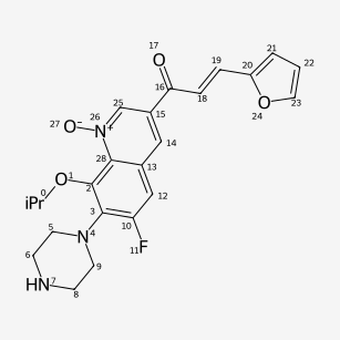 CC(C)Oc1c(N2CCNCC2)c(F)cc2cc(C(=O)C=Cc3ccco3)c[n+]([O-])c12